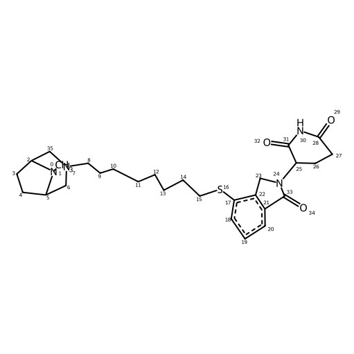 CN1C2CCC1CN(CCCCCCCCSc1cccc3c1CN(C1CCC(=O)NC1=O)C3=O)C2